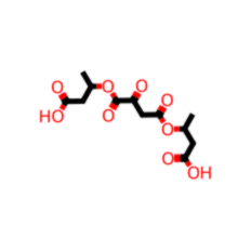 CC(CC(=O)O)OC(=O)CC(=O)C(=O)OC(C)CC(=O)O